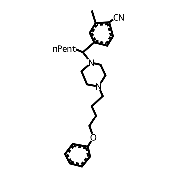 CCCCCC(c1ccc(C#N)c(C)c1)N1CCN(CCCCOc2ccccc2)CC1